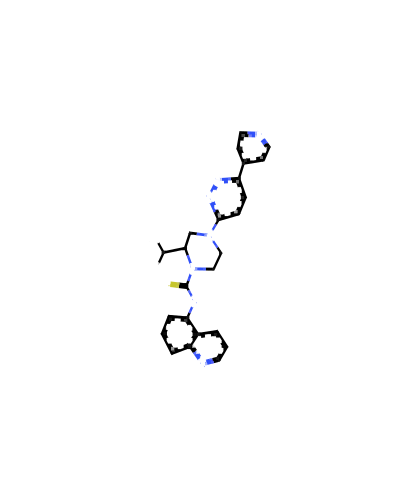 CC(C)C1CN(c2ccc(-c3ccncc3)nn2)CCN1C(=S)Nc1cccc2ncccc12